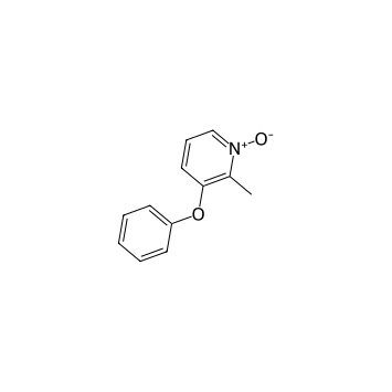 Cc1c(Oc2ccccc2)ccc[n+]1[O-]